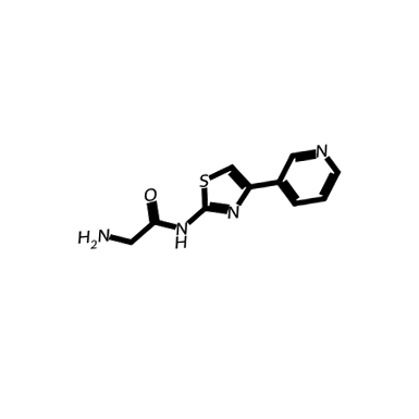 NCC(=O)Nc1nc(-c2cccnc2)cs1